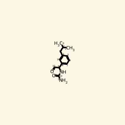 CC(C)Cc1cccc(C(C=O)NC(N)=O)c1